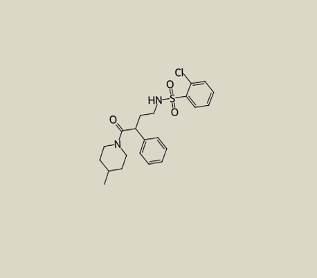 CC1CCN(C(=O)C(CCNS(=O)(=O)c2ccccc2Cl)c2ccccc2)CC1